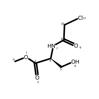 COC(=O)[C@H](CO)NC(=O)CCl